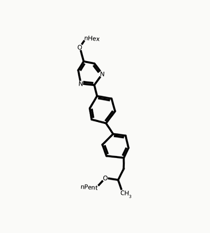 CCCCCCOc1cnc(-c2ccc(-c3ccc(CC(C)OCCCCC)cc3)cc2)nc1